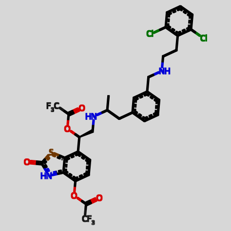 CC(Cc1cccc(CNCCc2c(Cl)cccc2Cl)c1)NC[C@H](OC(=O)C(F)(F)F)c1ccc(OC(=O)C(F)(F)F)c2[nH]c(=O)sc12